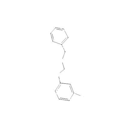 Oc1cccc(OCOCc2ccccc2)c1